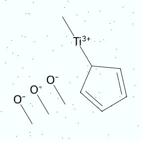 C[O-].C[O-].C[O-].[CH3][Ti+3][CH]1C=CC=C1